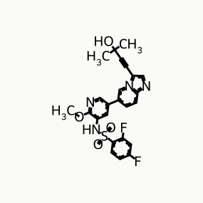 COc1ncc(-c2ccc3ncc(C#CC(C)(C)O)n3c2)cc1NS(=O)(=O)c1ccc(F)cc1F